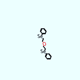 c1ccc([Se]CCOCC[Se]c2ccccc2)cc1